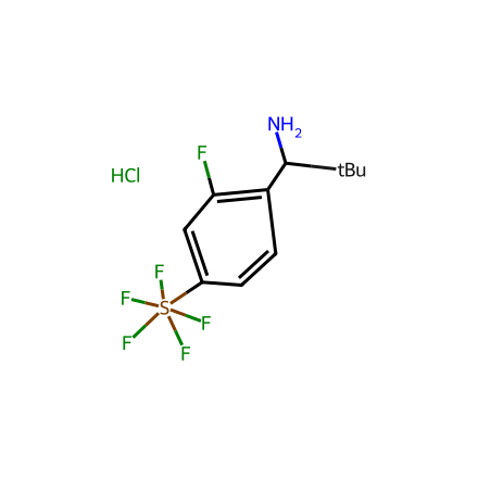 CC(C)(C)C(N)c1ccc(S(F)(F)(F)(F)F)cc1F.Cl